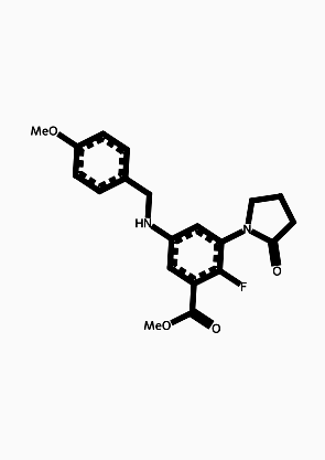 COC(=O)c1cc(NCc2ccc(OC)cc2)cc(N2CCCC2=O)c1F